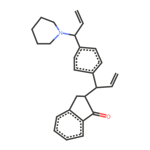 C=CC(c1ccc(C(C=C)N2CCCCC2)cc1)C1Cc2ccccc2C1=O